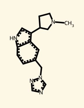 CN1CCC(c2c[nH]c3ccc(Cn4cncn4)cc23)C1